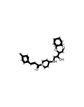 Cc1ccc(C=CC(=O)N2CCC(NCC(O)C3COc4ccccc4O3)CC2)cc1